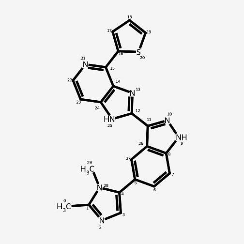 Cc1ncc(-c2ccc3[nH]nc(-c4nc5c(-c6cccs6)nccc5[nH]4)c3c2)n1C